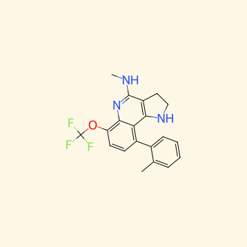 CNc1nc2c(OC(F)(F)F)ccc(-c3ccccc3C)c2c2c1CCN2